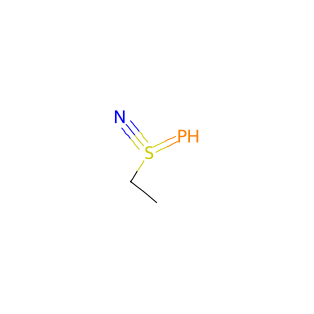 CCS(#N)=P